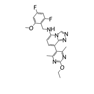 CCOc1nc(C)c(-c2ccc(NCc3c(F)cc(F)cc3OC)n3cnnc23)c(C)n1